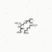 CCCCCCCCCCCC(=O)N[C@@H](CCCNC(=N)N)C(=O)O.CCCCCCCCCCCCCCCC(=O)O